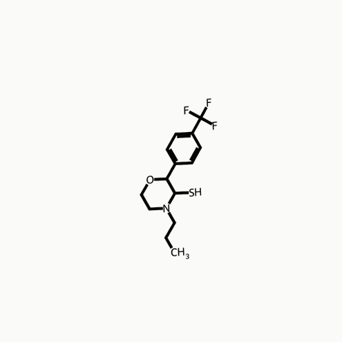 CCCN1CCOC(c2ccc(C(F)(F)F)cc2)C1S